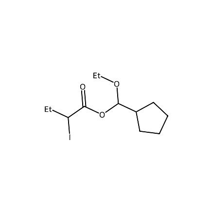 CCOC(OC(=O)C(I)CC)C1CCCC1